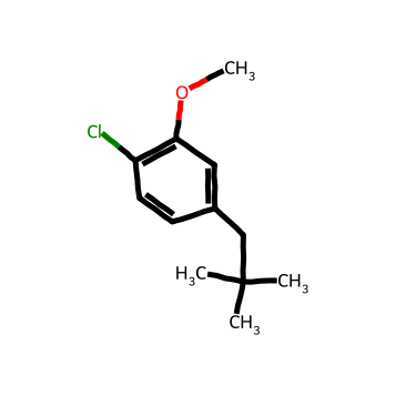 COc1cc(CC(C)(C)C)ccc1Cl